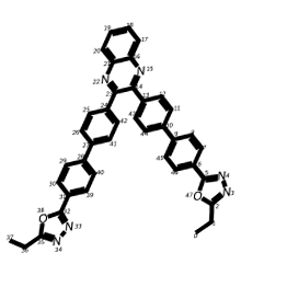 CCc1nnc(-c2ccc(-c3ccc(-c4nc5ccccc5nc4-c4ccc(-c5ccc(-c6nnc(CC)o6)cc5)cc4)cc3)cc2)o1